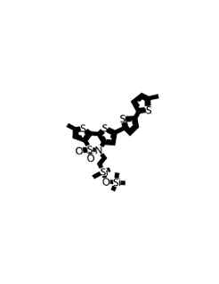 Cc1ccc(-c2ccc(-c3cc4c(s3)-c3sc(C)cc3S(=O)(=O)N4CC[Si](C)(C)O[Si](C)(C)C)s2)s1